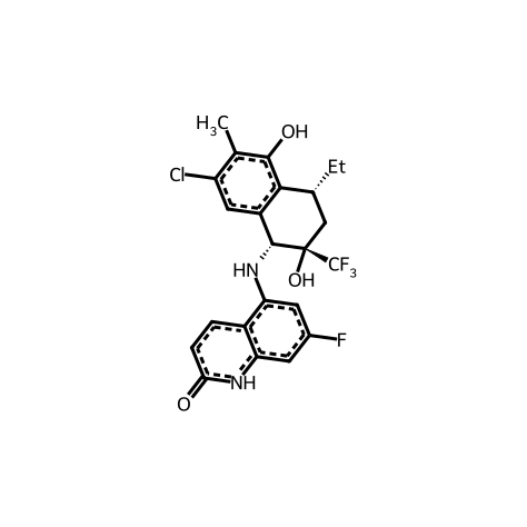 CC[C@@H]1C[C@@](O)(C(F)(F)F)[C@H](Nc2cc(F)cc3[nH]c(=O)ccc23)c2cc(Cl)c(C)c(O)c21